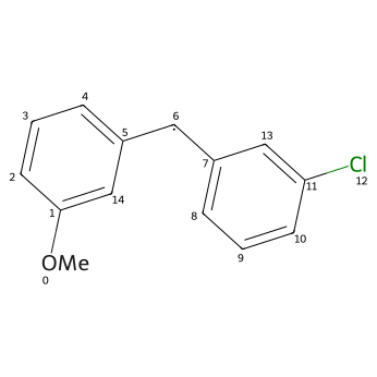 COc1cccc([CH]c2cccc(Cl)c2)c1